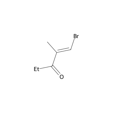 CCC(=O)/C(C)=C/Br